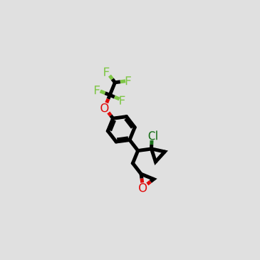 FC(F)C(F)(F)Oc1ccc(C(CC2CO2)C2(Cl)CC2)cc1